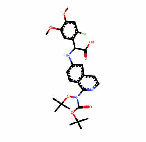 COc1cc(F)c(C(Nc2ccc3c(N(OC(C)(C)C)C(=O)OC(C)(C)C)nccc3c2)C(=O)O)cc1OC